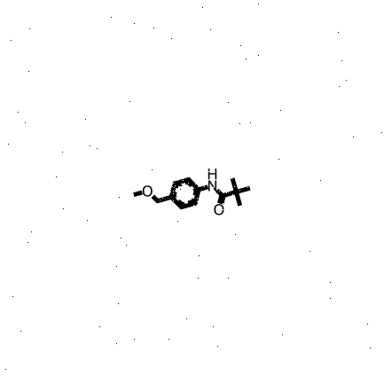 COCc1ccc(NC(=O)C(C)(C)C)cc1